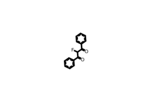 O=C(c1ccccc1)C(F)C(=O)c1ccccc1